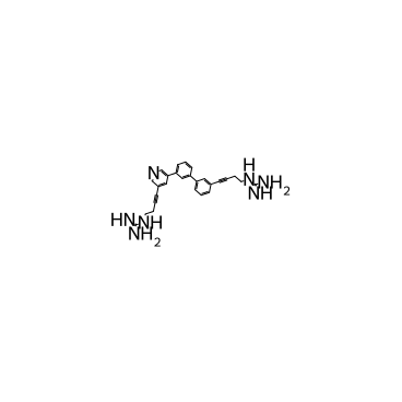 N=C(N)NCCC#Cc1cccc(-c2cccc(-c3cncc(C#CCCNC(=N)N)c3)c2)c1